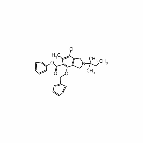 CCC(C)(C)N1Cc2c(Cl)c(C)c(C(=O)Oc3ccccc3)c(OCc3ccccc3)c2C1